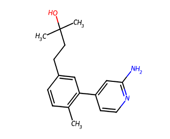 Cc1ccc(CCC(C)(C)O)cc1-c1ccnc(N)c1